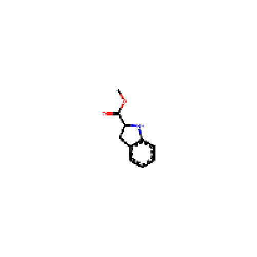 COC(=O)C1Cc2ccccc2N1